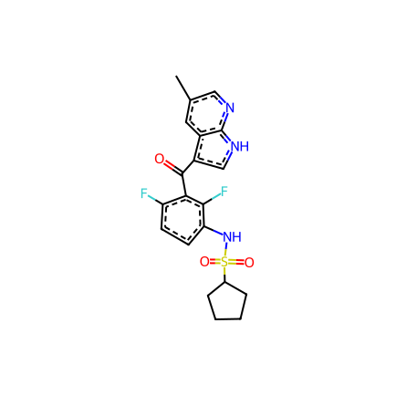 Cc1cnc2[nH]cc(C(=O)c3c(F)ccc(NS(=O)(=O)C4CCCC4)c3F)c2c1